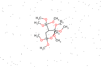 CO[Si](CC([Si](OC)(OC)OC)[Si](OC)(OC)OC)(OC)OC